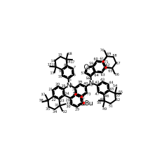 CC(C)(C)c1cc(N(c2ccc3c(c2)C(C)(C)CCC3(C)C)c2ccc3c(c2-c2ccccc2)C(C)(C)CCC3(C)C)cc(N(c2ccc3c(c2)C(C)(C)CCC3(C)C)c2coc3cc4c(cc23)C2(C)CCC4(C)CC2)c1